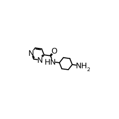 NC1CCC(NC(=O)c2ccncn2)CC1